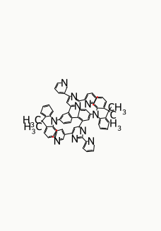 CC1(C)c2ccccc2N(c2ccc(-c3ccc(N4c5ccccc5C(C)(C)c5ccccc54)cc3-c3cc(-c4cccnc4)nc(-c4ccccn4)n3)c(-c3cc(-c4cccnc4)nc(-c4ccccn4)n3)c2)c2ccccc21